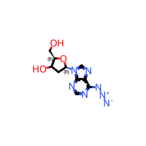 [N-]=[N+]=Nc1ncnc2c1ncn2[C@H]1CC(O)[C@@H](CO)O1